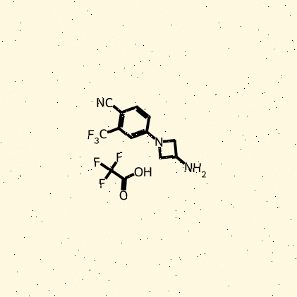 N#Cc1ccc(N2CC(N)C2)cc1C(F)(F)F.O=C(O)C(F)(F)F